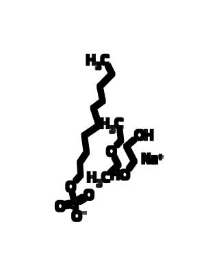 CCCCCCCCCCOS(=O)(=O)[O-].CCOCC.OCCO.[Na+]